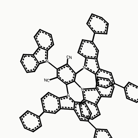 N#Cc1c(-n2c3ccccc3c3ccccc32)c(C#N)c(-n2c3ccc(-c4ccccc4)cc3c3cc(-c4ccccc4)ccc32)c(-n2c3ccccc3c3ccccc32)c1-n1c2ccc(-c3ccccc3)cc2c2cc(-c3ccccc3)ccc21